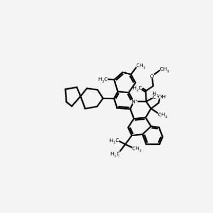 C=C(COC)C1(C)[n+]2c(cc(C3CCC4(CCCC4)CC3)c3c(C)cc(C)cc32)-c2cc(C(C)(C)C)c3ccccc3c2C1(C)CO